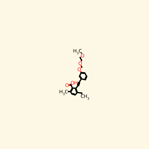 CCc1ccc(C)c(C(=O)O)c1C#Cc1cccc(OCOCCOC)c1